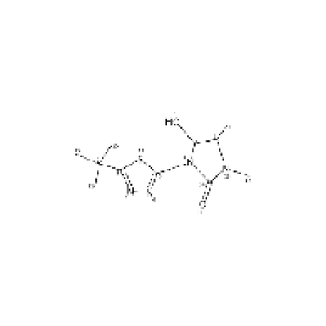 CC1C(O)N(c2nnc(C(C)(C)C)s2)C(=O)N1C